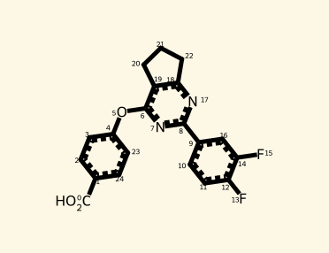 O=C(O)c1ccc(Oc2nc(-c3ccc(F)c(F)c3)nc3c2CCC3)cc1